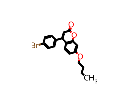 CCCCOc1ccc2c(-c3ccc(Br)cc3)cc(=O)oc2c1